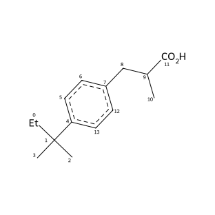 CCC(C)(C)c1ccc(CC(C)C(=O)O)cc1